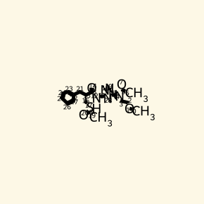 COCCN(C(C)=O)n1nnc(NC(=O)[C@@H](CSC(C)=O)Cc2ccccc2)n1